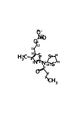 CCCC(=O)N(c1nc(C)c(CCO[N+](=O)[O-])s1)C1SCCS1